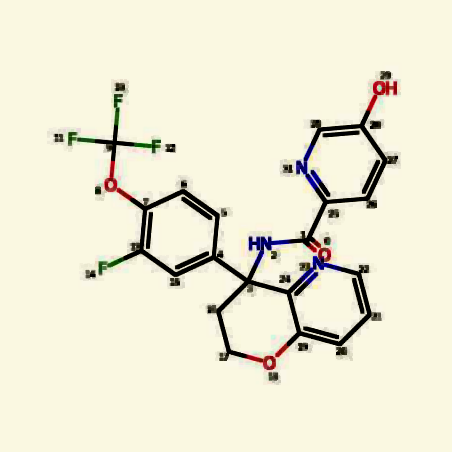 O=C(NC1(c2ccc(OC(F)(F)F)c(F)c2)CCOc2cccnc21)c1ccc(O)cn1